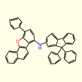 c1ccc(-c2ccc(Nc3ccc4c(c3)C(c3ccccc3)(c3ccccc3)c3ccccc3-4)c3c2oc2c4ccccc4ccc23)cc1